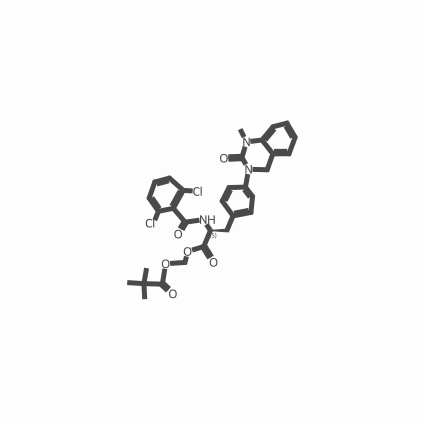 CN1C(=O)N(c2ccc(C[C@H](NC(=O)c3c(Cl)cccc3Cl)C(=O)OCOC(=O)C(C)(C)C)cc2)Cc2ccccc21